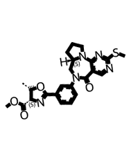 COC(=O)[C@H]1N=C(c2cccc(N3C[C@@H]4CCCN4c4nc(SC)ncc4C3=O)c2)O[C@H]1C